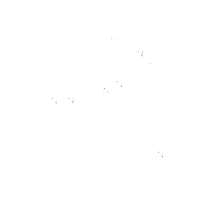 CN1C(=O)c2cc(-c3nnco3)nn2-c2cc(-c3ccc(Cl)nc3)ccc2C12CC2